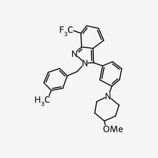 COC1CCN(c2cccc(-c3c4cccc(C(F)(F)F)c4nn3Cc3cccc(C)c3)c2)CC1